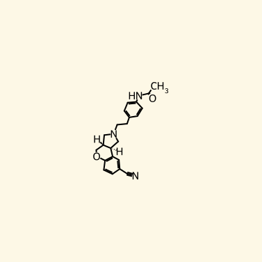 CC(=O)Nc1ccc(CCN2C[C@H]3COc4ccc(C#N)cc4[C@@H]3C2)cc1